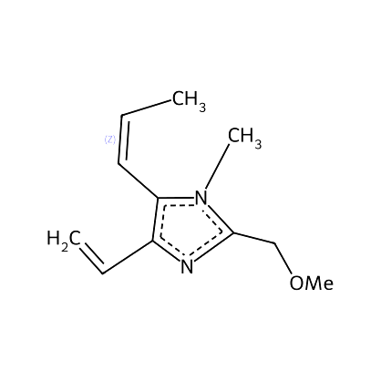 C=Cc1nc(COC)n(C)c1/C=C\C